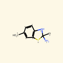 CCC1(N)Nc2ccc(C(=O)O)cc2S1